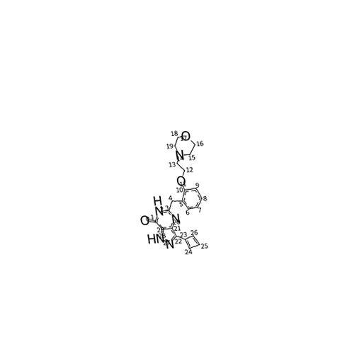 O=c1[nH]c(Cc2ccccc2OCCN2CCOCC2)nc2c(C3=CC=C3)n[nH]c12